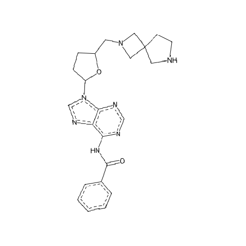 O=C(Nc1ncnc2c1ncn2C1CCC(CN2CC3(CCNC3)C2)O1)c1ccccc1